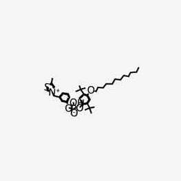 CCCCCCCCCCCCOc1cc(C(C)(C)C)c(OP(=O)(O)Oc2cccc(C[n+]3csc(C)c3)c2)cc1C(C)(C)C